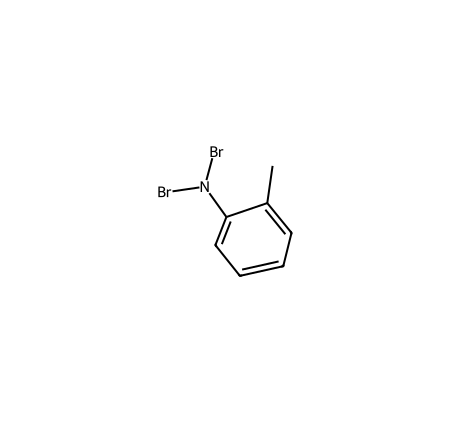 Cc1ccccc1N(Br)Br